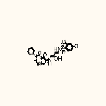 CC(C)C[C@H](NC[C@@H](O)CCNS(=O)(=O)c1ccc(Cl)cc1Cl)C(=O)NC(=O)NC1CCCCC1